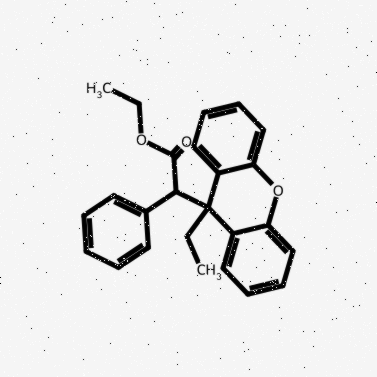 CCOC(=O)C(c1ccccc1)C1(CC)c2ccccc2Oc2ccccc21